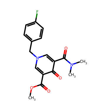 COC(=O)c1cn(Cc2ccc(F)cc2)cc(C(=O)N(C)C)c1=O